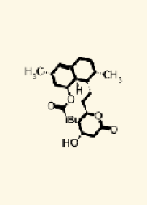 CC[C@H](C)C(=O)O[C@H]1C[C@H](C)C=C2CC[C@H](C)[C@H](CC[C@@H]3C[C@@H](O)CC(=O)O3)[C@H]21